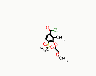 COCCOc1c(S(C)(=O)=O)ccc(C(=O)Cl)c1C